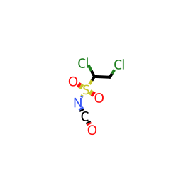 O=C=NS(=O)(=O)C(Cl)CCl